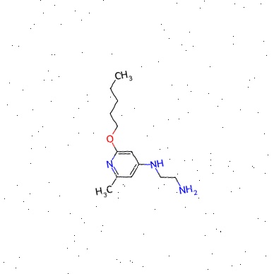 CCCCCOc1cc(NCCN)cc(C)n1